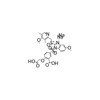 COc1ccc2c(c1)nc([S+]([O-])Cc1ncc(C)c(OC)c1C)n2S(=O)(=O)c1ccc(OCC(=O)O)c(C(=O)O)c1.[Na].[Na]